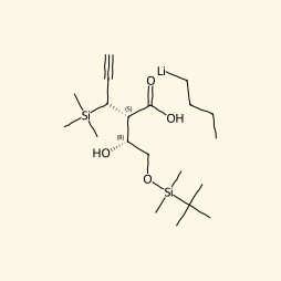 C#CC([C@H](C(=O)O)[C@@H](O)CO[Si](C)(C)C(C)(C)C)[Si](C)(C)C.[Li][CH2]CCC